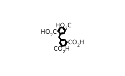 O=C(O)c1ccc(Cc2cccc(C(=O)O)c2C(=O)O)cc1C(=O)O